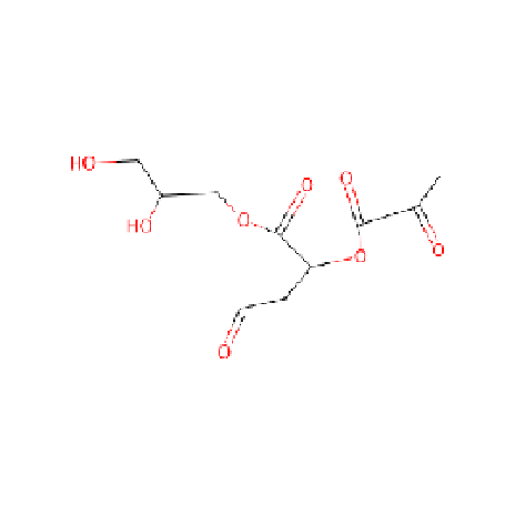 CC(=O)C(=O)OC(CC=O)C(=O)OCC(O)CO